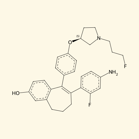 Nc1ccc(C2=C(c3ccc(O[C@H]4CCN(CCCF)C4)cc3)c3ccc(O)cc3CCC2)c(F)c1